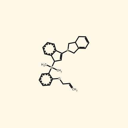 C=CCOc1ccccc1[Si](C)(C)C1C=C(N2CC3=CC=CCC3C2)c2ccccc21